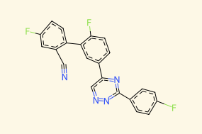 N#Cc1cc(F)ccc1-c1cc(-c2cnnc(-c3ccc(F)cc3)n2)ccc1F